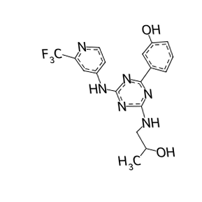 CC(O)CNc1nc(Nc2ccnc(C(F)(F)F)c2)nc(-c2cccc(O)c2)n1